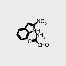 NC(=O)C=O.O=[N+]([O-])c1cc2ccccc2[nH]1